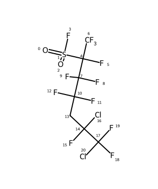 O=S(=O)(F)C(F)(C(F)(F)F)C(F)(F)C(F)(F)CC(F)(Cl)C(F)(F)Cl